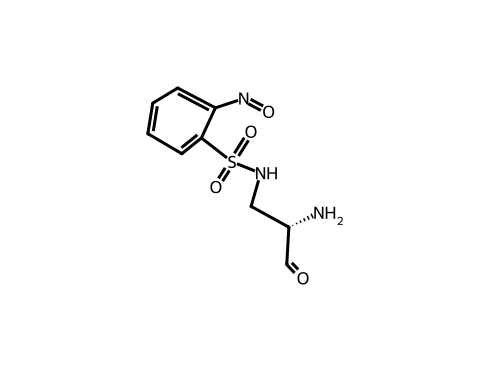 N[C@H](C=O)CNS(=O)(=O)c1ccccc1N=O